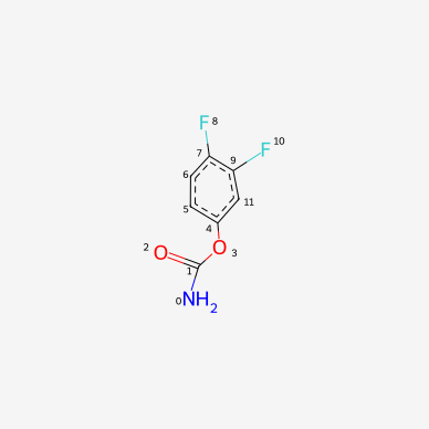 NC(=O)Oc1ccc(F)c(F)c1